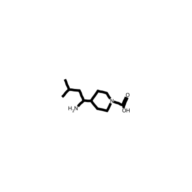 CC(C)CC(N)C1CCN(C(=O)O)CC1